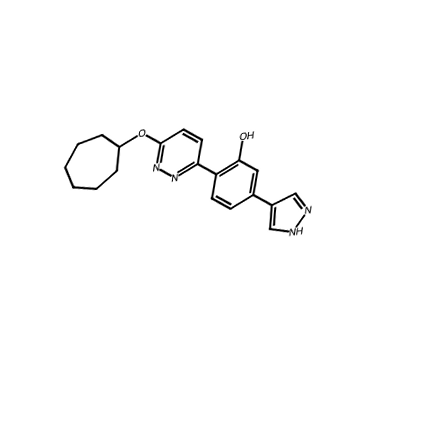 Oc1cc(-c2cn[nH]c2)ccc1-c1ccc(OC2CCCCCC2)nn1